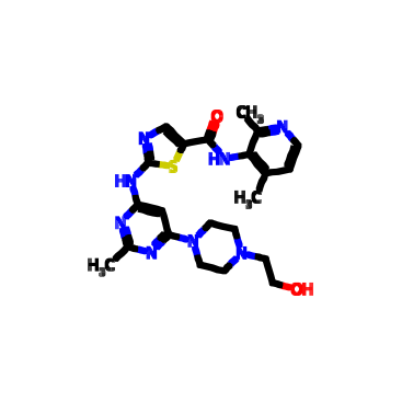 Cc1nc(Nc2ncc(C(=O)Nc3c(C)ccnc3C)s2)cc(N2CCN(CCO)CC2)n1